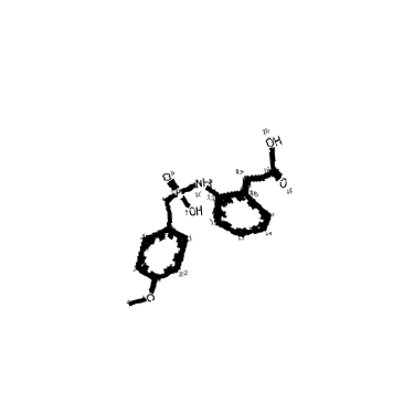 COc1ccc(CP(=O)(O)Nc2ccccc2CC(=O)O)cc1